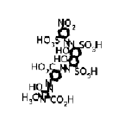 Cn1nc(C(=O)O)c(/N=N/c2ccc(/N=N/c3c(S(=O)(=O)O)cc4cc(S(=O)(=O)O)c(/N=N/c5ccc([N+](=O)[O-])cc5S(=O)(=O)O)c(O)c4c3O)c(C(=O)O)c2)c1O